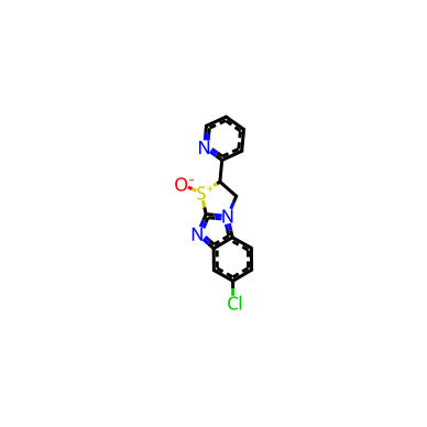 [O-][S+]1c2nc3cc(Cl)ccc3n2CC1c1ccccn1